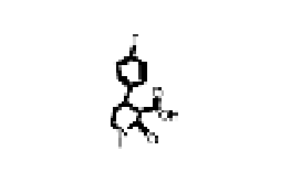 O=C(O)C1C(=O)NCCC1c1ccc(F)cc1